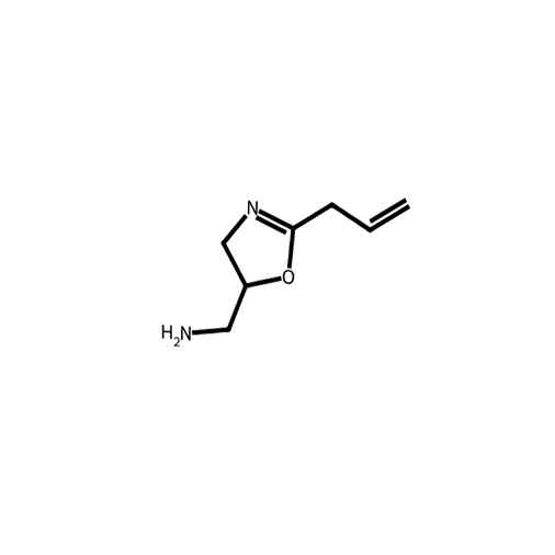 C=CCC1=NCC(CN)O1